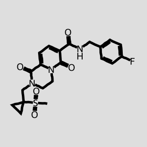 CS(=O)(=O)C1(CN2CCn3c(ccc(C(=O)NCc4ccc(F)cc4)c3=O)C2=O)CC1